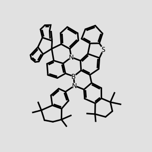 CC1(C)CCC(C)(C)c2cc(N3B4c5cccc6c5N(c5ccccc5C65c6ccccc6-c6ccccc65)c5c4c(cc4sc6ccccc6c54)-c4cc5c(cc43)C(C)(C)CCC5(C)C)ccc21